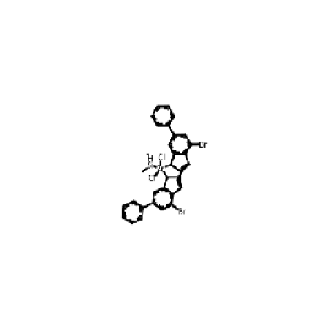 CC1=Cc2c(Br)cc(-c3ccccc3)cc2[CH]1[Zr]([Cl])([Cl])([CH]1C(C)=Cc2c(Br)cc(-c3ccccc3)cc21)[SiH](C)C